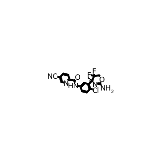 C[C@]1(c2cc(NC(=O)c3ccc(C#N)cn3)ccc2Cl)N=C(N)OCC1(F)F